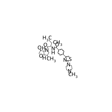 CC[C@H](C)[C@H](NC(=O)c1ccc(-c2csc(N3CCN(C)CC3)n2)cc1)C(=O)N1C[C@@H](C)[C@H]2OCC(=O)[C@H]21